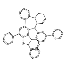 C1=CC2C(CC1)c1ccccc1-c1cc(-c3ccccc3)c3c(c1N2c1cc(-c2ccccc2)cc(-c2ccccc2)n1)C1CCNCC1S3